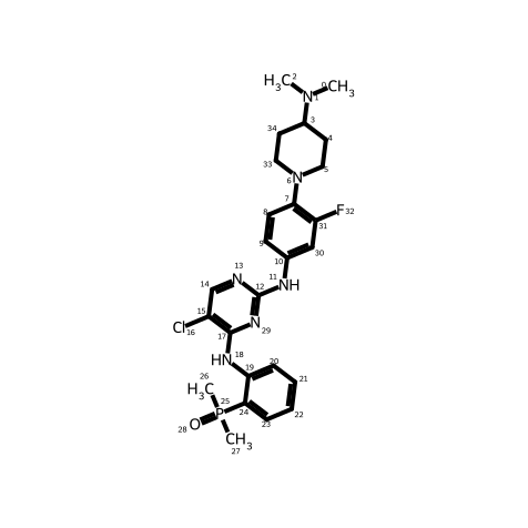 CN(C)C1CCN(c2ccc(Nc3ncc(Cl)c(Nc4ccccc4P(C)(C)=O)n3)cc2F)CC1